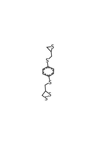 c1cc(SCC2CSS2)ccc1SCC1CS1